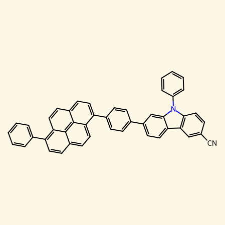 N#Cc1ccc2c(c1)c1ccc(-c3ccc(-c4ccc5ccc6c(-c7ccccc7)ccc7ccc4c5c76)cc3)cc1n2-c1ccccc1